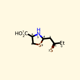 CCC(=S)CC1NC(C(=O)O)CS1